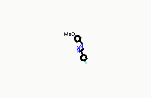 COc1ccc(Cn2cc(-c3ccc(F)cc3)nn2)cc1